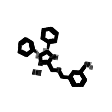 Cl.FC(F)(F)c1cccc(COCC2=N[C@H](c3ccccc3)[C@H](c3ccccc3)N2)c1